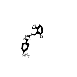 Nc1ccc(-c2nnc(SCc3c(Cl)cccc3Cl)s2)cc1